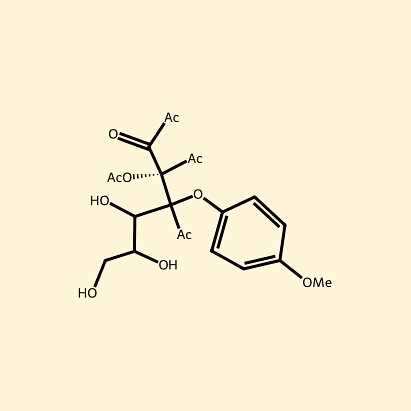 COc1ccc(OC(C(C)=O)(C(O)C(O)CO)[C@](OC(C)=O)(C(C)=O)C(=O)C(C)=O)cc1